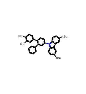 CC(C)(C)c1ccc2c(c1)c1cc(C(C)(C)C)ccc1n2-c1ccc(-c2ccc(C#N)c(C#N)c2)c(-c2ccccc2)c1